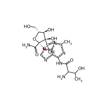 Cc1nc(NC(=O)C(N)C(C)O)c2ncn([C@]3(C(N)=O)O[C@H](CO)[C@@H](O)[C@]3(O)S(=O)(=O)O)c2n1